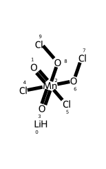 [LiH].[O]=[Mn](=[O])([Cl])([Cl])([O]Cl)[O]Cl